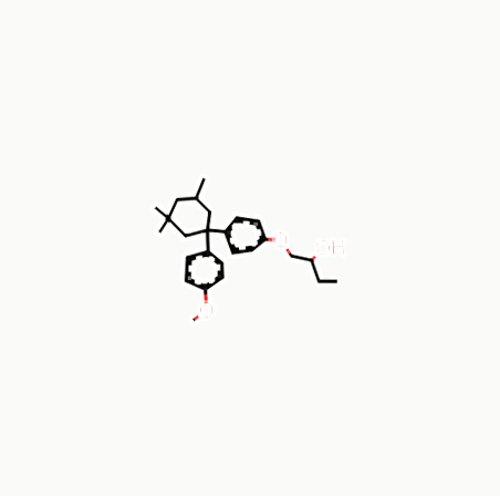 CCC(O)COc1ccc(C2(c3ccc(OC)cc3)CC(C)CC(C)(C)C2)cc1